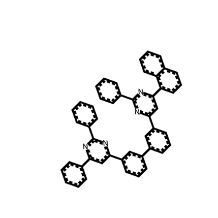 c1ccc(-c2cc(-c3cccc(-c4cccc(-c5cc(-c6cccc7ccccc67)nc(-c6ccccc6)n5)c4)c3)nc(-c3ccccc3)n2)cc1